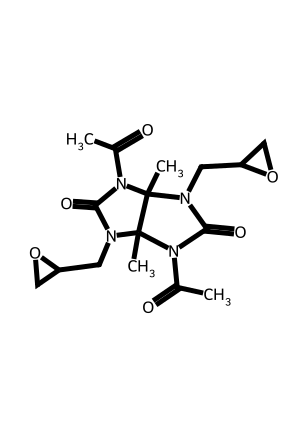 CC(=O)N1C(=O)N(CC2CO2)C2(C)N(C(C)=O)C(=O)N(CC3CO3)C12C